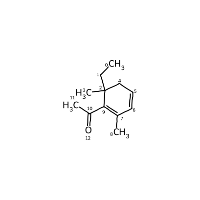 CCC1(C)CC=CC(C)=C1C(C)=O